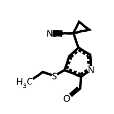 CCSc1cc(C2(C#N)CC2)cnc1C=O